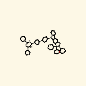 c1ccc(C2=Nc3cc4c5ccccc5n(-c5ccc(-c6ccc(-c7nc(-c8ccccc8)nc(-c8ccccc8)n7)cc6)cc5)c4cc3C2(c2ccccc2)c2ccccc2)cc1